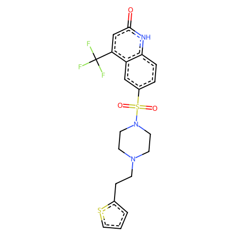 O=c1cc(C(F)(F)F)c2cc(S(=O)(=O)N3CCN(CCc4cccs4)CC3)ccc2[nH]1